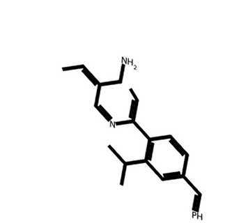 C\C=C(/C=N\C(=C/C)c1ccc(C=P)cc1C(C)C)CN